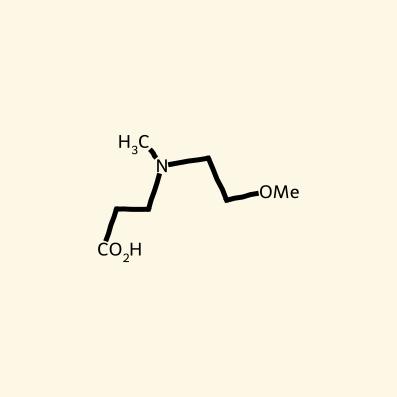 COCCN(C)CCC(=O)O